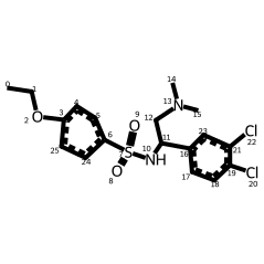 CCOc1ccc(S(=O)(=O)NC(CN(C)C)c2ccc(Cl)c(Cl)c2)cc1